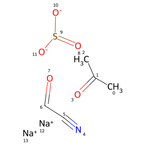 CC(C)=O.N#CC=O.O=S([O-])[O-].[Na+].[Na+]